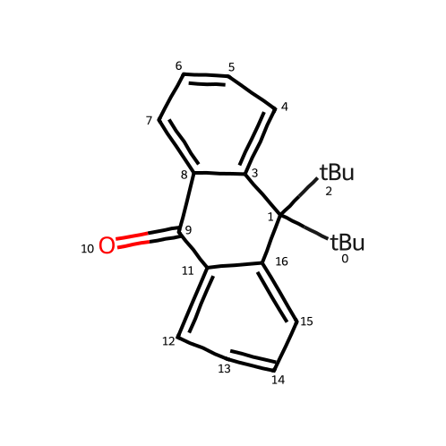 CC(C)(C)C1(C(C)(C)C)c2ccccc2C(=O)c2ccccc21